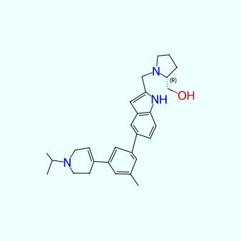 Cc1cc(C2=CCN(C(C)C)CC2)cc(-c2ccc3[nH]c(CN4CCC[C@@H]4CO)cc3c2)c1